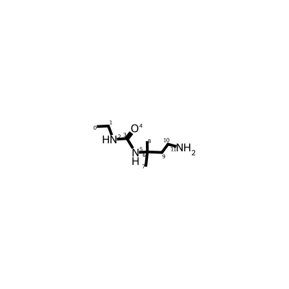 CCNC(=O)NC(C)(C)CCN